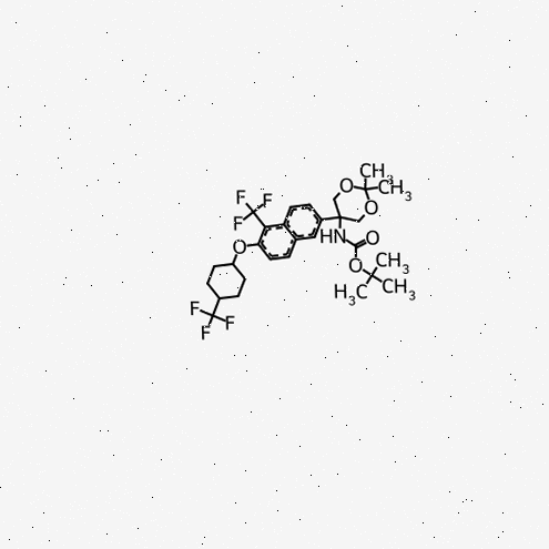 CC(C)(C)OC(=O)NC1(c2ccc3c(C(F)(F)F)c(OC4CCC(C(F)(F)F)CC4)ccc3c2)COC(C)(C)OC1